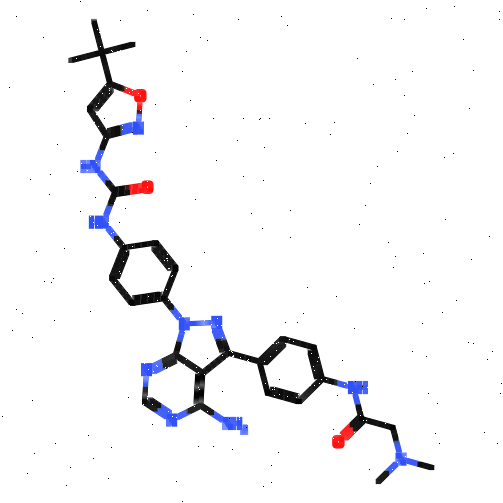 CN(C)CC(=O)Nc1ccc(-c2nn(-c3ccc(NC(=O)Nc4cc(C(C)(C)C)on4)cc3)c3ncnc(N)c23)cc1